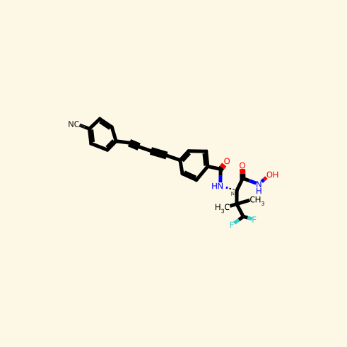 CC(C)(C(F)F)[C@H](NC(=O)c1ccc(C#CC#Cc2ccc(C#N)cc2)cc1)C(=O)NO